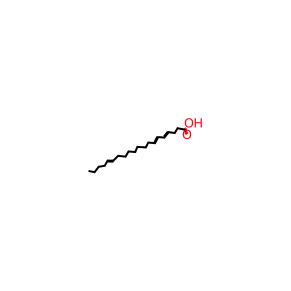 CCCC/C=C/CCCCCCC/C=C/C=C/CCC(=O)O